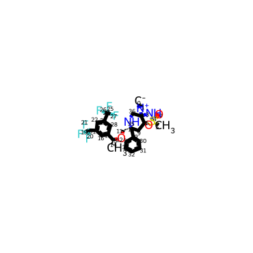 [C-]#[N+]C1(NS(C)(=O)=O)CC[C@@](CO[C@H](C)c2cc(C(F)(F)F)cc(C(F)(F)F)c2)(c2ccccc2)NC1